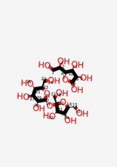 OC[C@@H](O)[C@H]1OC(O)[C@H](O)[C@H]1O.OC[C@H]1O[C@@](CO)(O[C@H]2O[C@H](CO)[C@@H](O)[C@H](O)[C@H]2O)[C@@H](O)[C@@H]1O